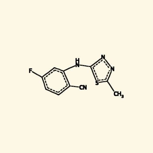 Cc1nnc(Nc2cc(F)ccc2C#N)s1